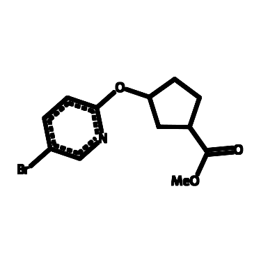 COC(=O)C1CCC(Oc2ccc(Br)cn2)C1